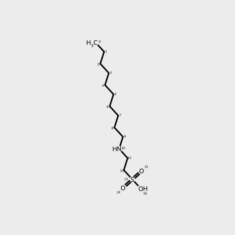 CCCCCCCCCCNCCS(=O)(=O)O